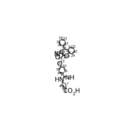 N=C(NC1CN(C(=O)O)C1)c1ccc(OC[C@H](ON)C(=O)OC(c2ccccc2)c2ccccc2)cc1